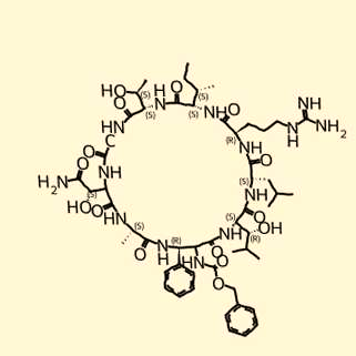 CC[C@H](C)[C@@H]1NC(=O)[C@@H](CCCNC(=N)N)NC(=O)[C@H](CC(C)C)NC(=O)[C@H]([C@H](O)C(C)C)NC(=O)C(NC(=O)OCc2ccccc2)[C@@H](c2ccccc2)NC(=O)[C@H](C)NC(=O)C([C@H](O)C(N)=O)NC(=O)CNC(=O)[C@H]([C@H](C)O)NC1=O